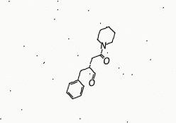 O=CC(CC(=O)N1CCCCC1)Cc1ccccc1